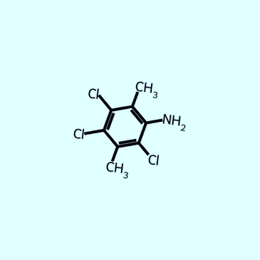 Cc1c(N)c(Cl)c(C)c(Cl)c1Cl